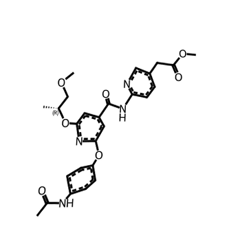 COC[C@@H](C)Oc1cc(C(=O)Nc2ccc(CC(=O)OC)cn2)cc(Oc2ccc(NC(C)=O)cc2)n1